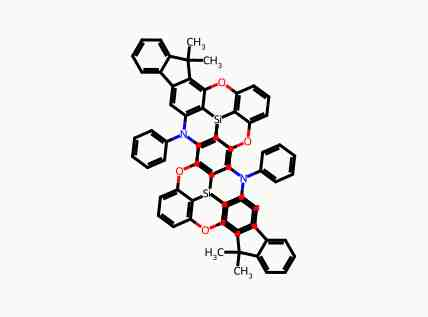 CC1(C)c2ccccc2-c2cc3c4c(c21)Oc1cccc2c1[Si]4(c1ccccc1)c1c(c4c5c(c1N3c1ccccc1)Oc1cccc3c1[Si]5(c1ccccc1)c1c(cc5c(c1O3)C(C)(C)c1ccccc1-5)N4c1ccccc1)O2